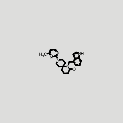 Cc1ccnc(N2CCC3(CCCC(=O)N3Cc3cccc4[nH]ccc34)CC2)n1